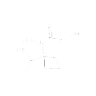 CN(C(=O)OC(C)(C)C)C1(C(N)=O)CCC1